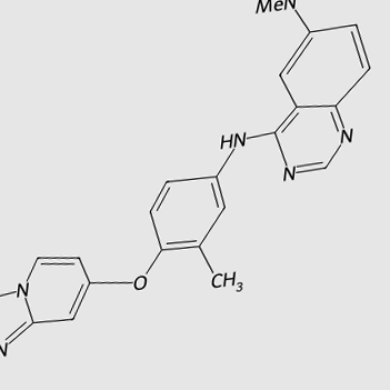 CNc1ccc2ncnc(Nc3ccc(Oc4ccn5ccnc5c4)c(C)c3)c2c1